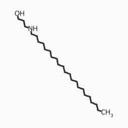 CCCCCCCCCCCCCCCCCCCCCCNCCCO